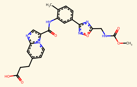 COC(=O)NCc1nc(-c2ccc(C)c(NC(=O)c3cnc4cc(CCC(=O)O)ccn34)c2)no1